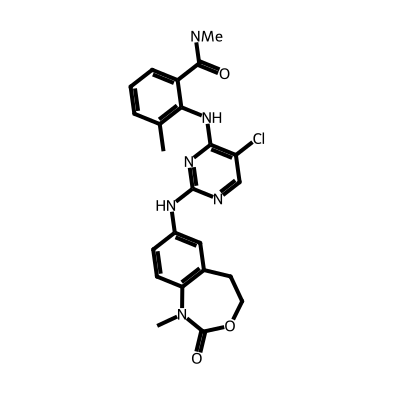 CNC(=O)c1cccc(C)c1Nc1nc(Nc2ccc3c(c2)CCOC(=O)N3C)ncc1Cl